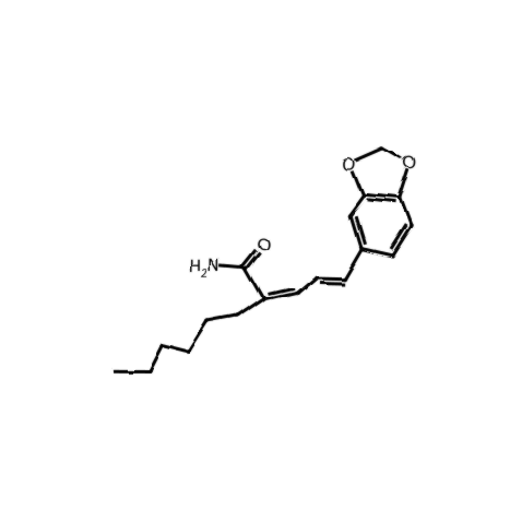 CCCCCCC(=CC=Cc1ccc2c(c1)OCO2)C(N)=O